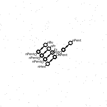 CCCCCCC1CC=C(C#Cc2ccc(OCCCCC)cc2)CC1.CCCCCOc1ccc(C#CC2=CCC(CC)CC2)cc1.CCCCCOc1ccc(C#CC2=CCC(CCC)CC2)cc1.CCCCCOc1ccc(C#CC2=CCC(CCCC)CC2)cc1.CCCCCOc1ccc(C#CC2=CCC(CCCCC)CC2)cc1